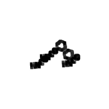 N=C=O.N=C=O.N=C=O.c1ccccc1.c1ccccc1